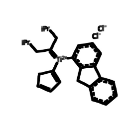 CC(C)C[C](CC(C)C)=[Ti+2]([C]1=CC=CC1)[c]1cccc2c1Cc1ccccc1-2.[Cl-].[Cl-]